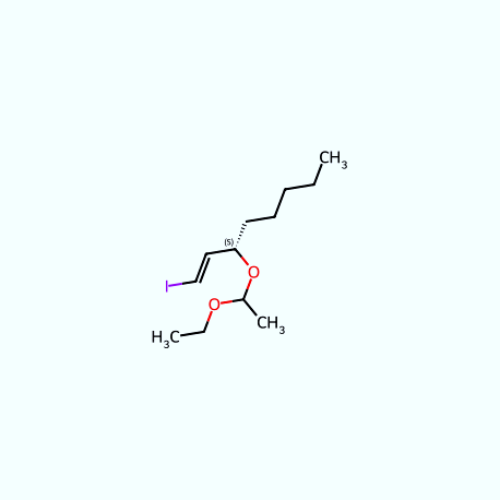 CCCCC[C@@H](C=CI)OC(C)OCC